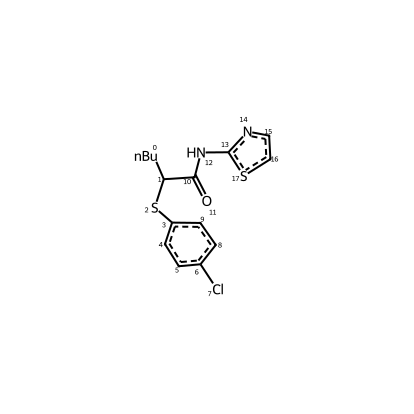 CCCCC(Sc1ccc(Cl)cc1)C(=O)Nc1nccs1